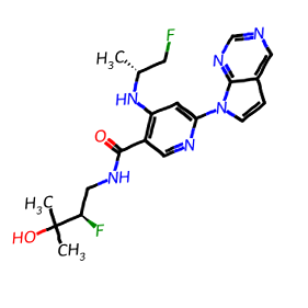 C[C@H](CF)Nc1cc(-n2ccc3cncnc32)ncc1C(=O)NC[C@@H](F)C(C)(C)O